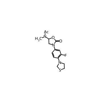 CC(=O)N(C)C1CN(c2ccc(N3CCSC3)c(F)c2)C(=O)O1